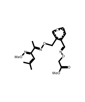 CO/N=C(C=C(C)C)/C(C)=N/OCc1ccccc1/C=N/OCC(=O)OC